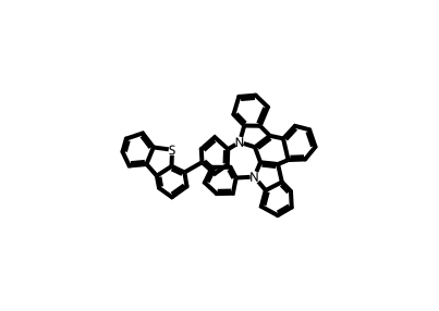 c1ccc(-n2c3ccccc3c3c4ccccc4c4c5ccccc5n(-c5ccc(-c6cccc7c6sc6ccccc67)cc5)c4c32)cc1